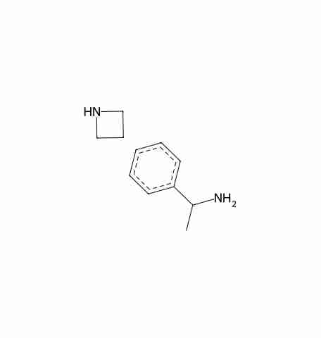 C1CNC1.CC(N)c1ccccc1